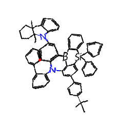 CC(C)(C)c1ccc(-c2cc3c4c(c2)[Si](c2ccccc2)(c2ccccc2)c2ccccc2B4c2cc(N4c5ccccc5C5(C)CCCCC45C)ccc2N3c2ccccc2-c2ccccc2)cc1